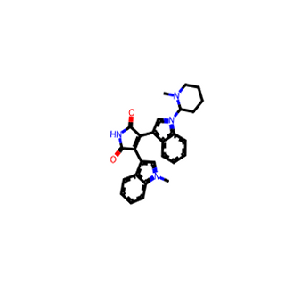 CN1CCCCC1n1cc(C2=C(c3cn(C)c4ccccc34)C(=O)NC2=O)c2ccccc21